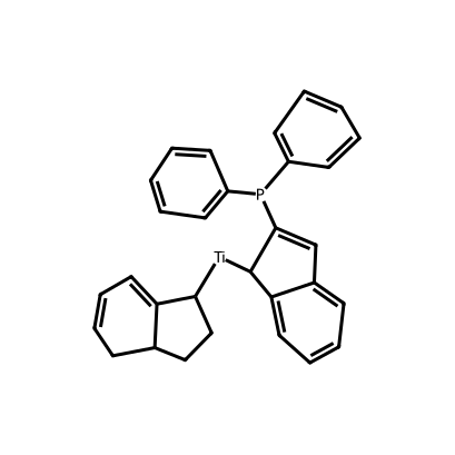 C1=CCC2CC[CH]([Ti][CH]3C(P(c4ccccc4)c4ccccc4)=Cc4ccccc43)C2=C1